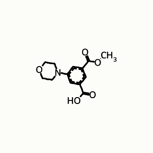 COC(=O)c1cc(C(=O)O)cc(N2CCOCC2)c1